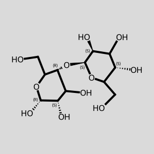 OCC1O[C@@H](O[C@H]2C(CO)O[C@@H](O)[C@@H](O)C2O)[C@@H](O)C(O)[C@@H]1O